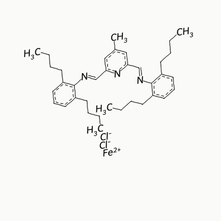 CCCCc1cccc(CCCC)c1N=Cc1cc(C)cc(C=Nc2c(CCCC)cccc2CCCC)n1.[Cl-].[Cl-].[Fe+2]